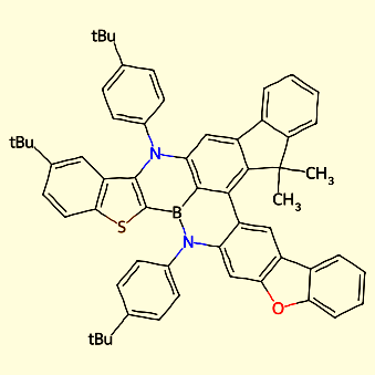 CC(C)(C)c1ccc(N2B3c4sc5ccc(C(C)(C)C)cc5c4N(c4ccc(C(C)(C)C)cc4)c4cc5c(c(c43)-c3cc4c(cc32)oc2ccccc24)C(C)(C)c2ccccc2-5)cc1